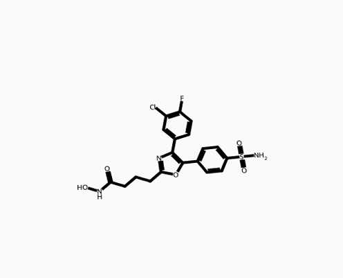 NS(=O)(=O)c1ccc(-c2oc(CCCC(=O)NO)nc2-c2ccc(F)c(Cl)c2)cc1